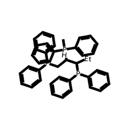 CCC(C(CP(c1ccccc1)c1ccccc1)[PH](C)(c1ccccc1)c1ccccc1)P(c1ccccc1)c1ccccc1